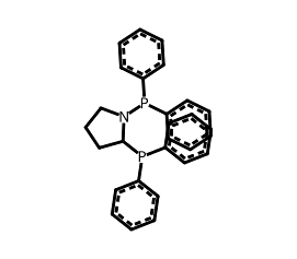 c1ccc(P(c2ccccc2)C2CCCN2P(c2ccccc2)c2ccccc2)cc1